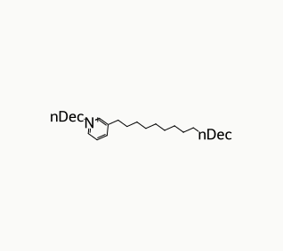 CCCCCCCCCCCCCCCCCCCc1ccc[n+](CCCCCCCCCC)c1